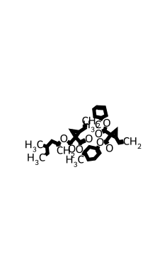 C=CC1CC1(C(=O)OC(=C)CC(C)CC)C(=O)OC1(C)CCC=C(OC(=O)C2(C(=O)OC3(C)CC=CCC3)CC2C=C)C1